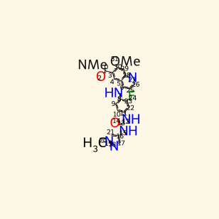 CNC(=O)c1cc2c(Nc3ccc(NC(=O)Nc4cnn(C)c4)cc3F)ccnc2cc1OC